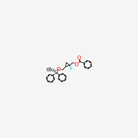 CC(C)(C)[Si](OCC1CC1(F)COC(=O)c1ccccc1)(c1ccccc1)c1ccccc1